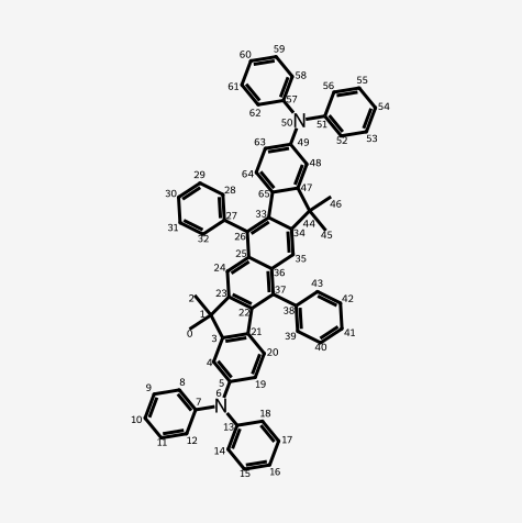 CC1(C)c2cc(N(c3ccccc3)c3ccccc3)ccc2-c2c1cc1c(-c3ccccc3)c3c(cc1c2-c1ccccc1)C(C)(C)c1cc(N(c2ccccc2)c2ccccc2)ccc1-3